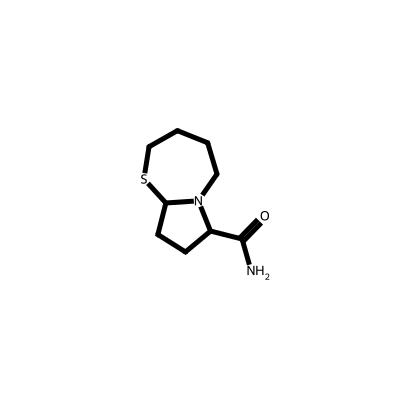 NC(=O)C1CCC2SCCCCN21